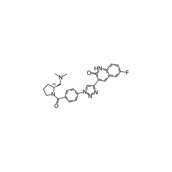 CN(C)C[C@@H]1CCCN1C(=O)c1ccc(-n2cc(-c3cc4cc(F)ccc4[nH]c3=O)nn2)cc1